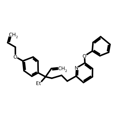 C=CCOc1ccc(C(C=C)(CC)CCCc2cccc(Oc3ccccc3)n2)cc1